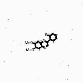 COc1cc2ncc(-c3ccc[c]c3F)nc2cc1OC